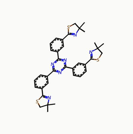 CC1(C)CSC(c2cccc(-c3nc(-c4cccc(C5=NC(C)(C)CS5)c4)nc(-c4cccc(C5=NC(C)(C)CS5)c4)n3)c2)=N1